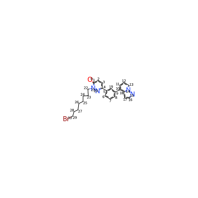 O=c1ccc(-c2cccc(-c3cccn4nccc34)c2)nn1CCCCCCCCBr